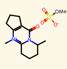 CC1CCCc2n1c(=O)c1c([n+]2C)CCC1.COS(=O)(=O)[O-]